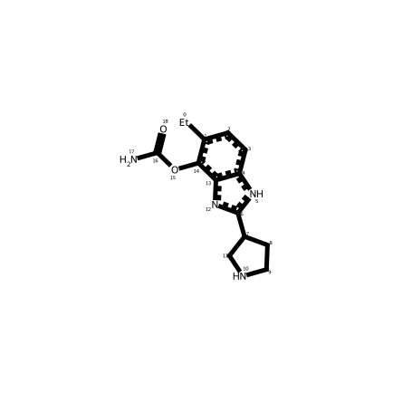 CCc1ccc2[nH]c(C3CCNC3)nc2c1OC(N)=O